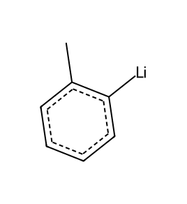 [Li][c]1ccccc1C